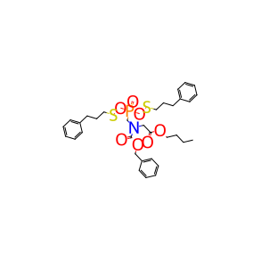 CCCCOC(=O)CN(CP(=O)(OSCCCc1ccccc1)OSCCCc1ccccc1)C(=O)OCc1ccccc1